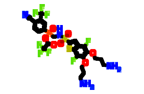 N#Cc1ccc(P(=O)(CNS(=O)(=O)c2cc3c(F)c(OCCCN)c(OCCCN)c(F)c3s2)OC(=O)C(F)(F)F)cc1C(F)(F)F